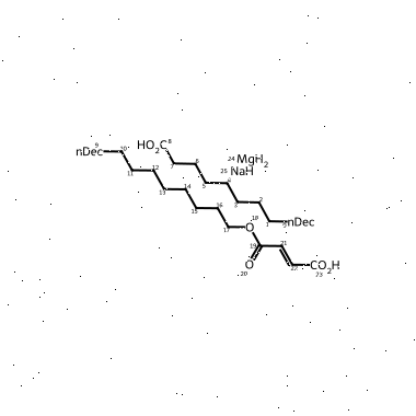 CCCCCCCCCCCCCCCCCC(=O)O.CCCCCCCCCCCCCCCCCCOC(=O)/C=C/C(=O)O.[MgH2].[NaH]